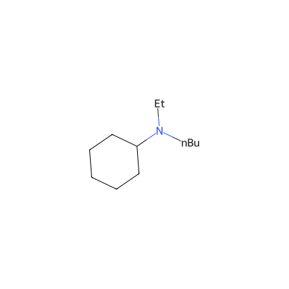 [CH2]CCCN(CC)C1CCCCC1